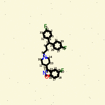 Fc1ccc(C(CCCN2CCC(c3noc4ccc(F)cc34)CC2)c2ccc(F)cc2)cc1